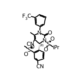 [C-]#[N+]C1=C(C)N(c2cccc(C(F)(F)F)c2)C(=O)N(S(=O)(=O)C(C)C)[C@@H]1c1ccc(C#N)cc1S(C)(=O)=O